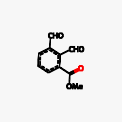 COC(=O)c1cccc(C=O)c1C=O